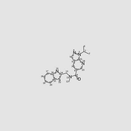 CC(C)n1ncc2cc(C(=O)N(C)Cc3nc4ccccc4s3)cnc21